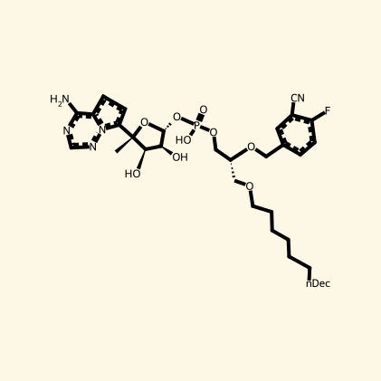 CCCCCCCCCCCCCCCCOC[C@H](COP(=O)(O)O[C@H]1O[C@@](C)(c2ccc3c(N)ncnn23)[C@H](O)[C@@H]1O)OCc1ccc(F)c(C#N)c1